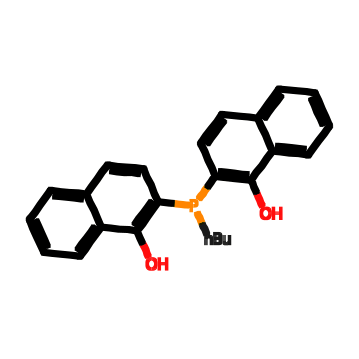 CCCCP(c1ccc2ccccc2c1O)c1ccc2ccccc2c1O